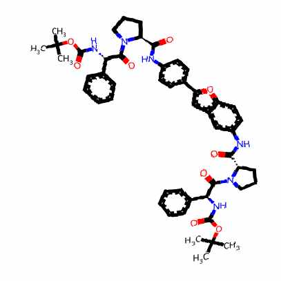 CC(C)(C)OC(=O)N[C@H](C(=O)N1CCC[C@H]1C(=O)Nc1ccc(-c2cc3cc(NC(=O)[C@@H]4CCCN4C(=O)[C@@H](NC(=O)OC(C)(C)C)c4ccccc4)ccc3o2)cc1)c1ccccc1